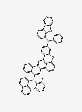 Cc1cccc(C)c1B(c1cccc2ccccc12)c1cc2c3cccc4c3c(cc2c2ccccc12)-c1ccc(N(c2ccccc2)c2cccc3c2oc2ccccc23)cc1O4